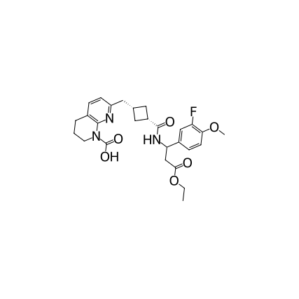 CCOC(=O)CC(NC(=O)[C@H]1C[C@@H](Cc2ccc3c(n2)N(C(=O)O)CCC3)C1)c1ccc(OC)c(F)c1